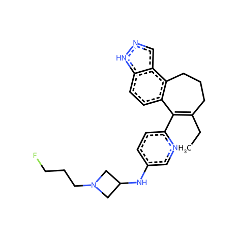 CCC1=C(c2ccc(NC3CN(CCCF)C3)cn2)c2ccc3[nH]ncc3c2CCC1